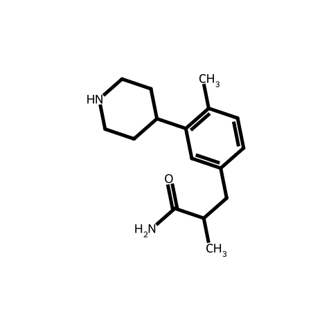 Cc1ccc(CC(C)C(N)=O)cc1C1CCNCC1